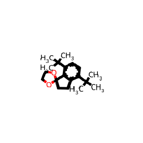 CC(C)(C)c1ccc(C(C)(C)C)c2c1CCC21OCCO1